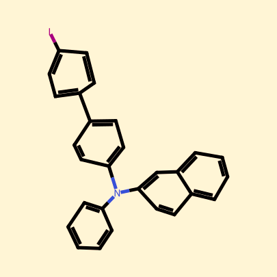 Ic1ccc(-c2ccc(N(c3ccccc3)c3ccc4ccccc4c3)cc2)cc1